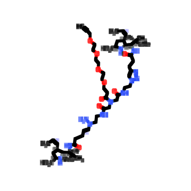 C#CCOCCOCCOCCOCCC(=O)N(CC(=O)NCCN(N)/C=C/CCC(=O)N[C@H]([C@@H]1N[C@@H](C(=O)O)C[C@H]1/C=C\C)[C@](C)(CCC)OC)CC(=O)NCCn1cc(CCC(=O)N[C@H]([C@@H]2N[C@@H](C(=O)O)C[C@H]2/C=C\C)[C@](C)(CCC)OC)nn1